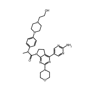 CN(C(=O)N1CCc2c(-c3cnc(N)nc3)nc(N3CCOCC3)nc21)c1ccc(N2CCN(CCO)CC2)cc1